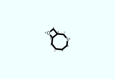 C1CCC2OCC2CSC1